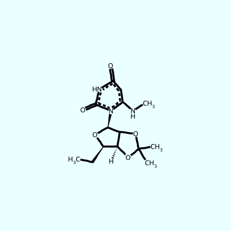 CC[C@H]1O[C@@H](n2c(NC)cc(=O)[nH]c2=O)C2OC(C)(C)O[C@H]21